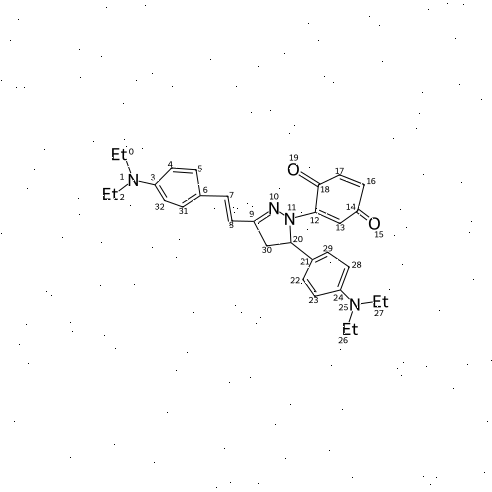 CCN(CC)c1ccc(C=CC2=NN(C3=CC(=O)C=CC3=O)C(c3ccc(N(CC)CC)cc3)C2)cc1